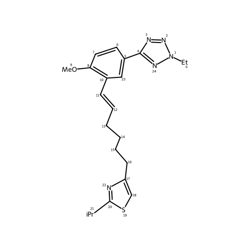 CCn1nnc(-c2ccc(OC)c(/C=C/CCCCc3csc(C(C)C)n3)c2)n1